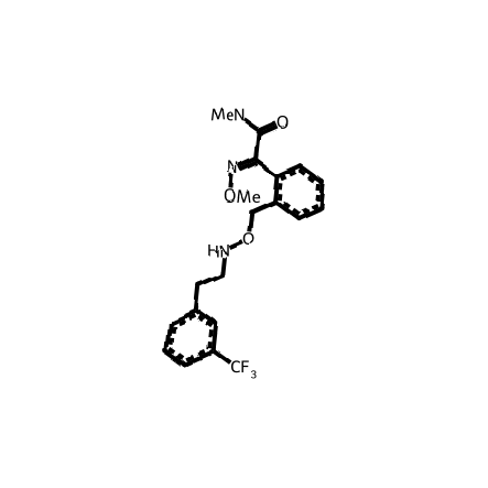 CNC(=O)/C(=N/OC)c1ccccc1CONCCc1cccc(C(F)(F)F)c1